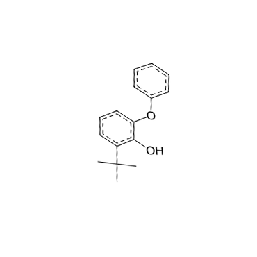 CC(C)(C)c1cccc(Oc2ccccc2)c1O